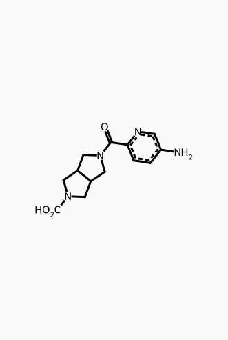 Nc1ccc(C(=O)N2CC3CN(C(=O)O)CC3C2)nc1